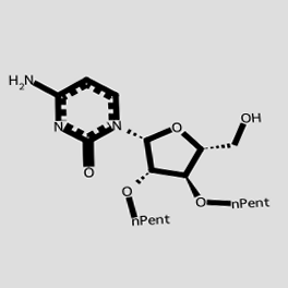 CCCCCO[C@H]1[C@H](OCCCCC)[C@@H](CO)O[C@H]1n1ccc(N)nc1=O